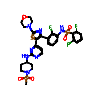 CS(=O)(=O)N1CCC(Nc2nccc(-c3sc(N4CCOCC4)nc3-c3cccc(NS(=O)(=O)c4c(F)cccc4F)c3F)n2)CC1